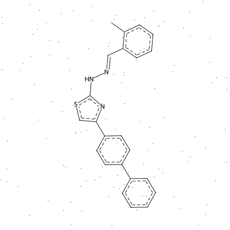 Cc1ccccc1/C=N/Nc1nc(-c2ccc(-c3ccccc3)cc2)cs1